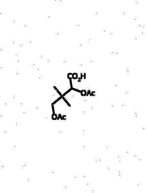 CC(=O)OCC(C)(C)C(OC(C)=O)C(=O)O